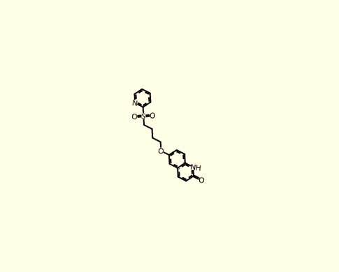 O=c1ccc2cc(OCCCCS(=O)(=O)c3ccccn3)ccc2[nH]1